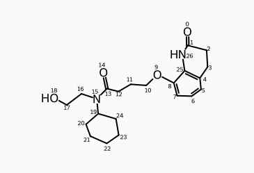 O=C1CCc2cccc(OCCCC(=O)N(CCO)C3CCCCC3)c2N1